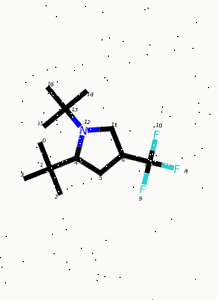 CC(C)(C)C1CC(C(F)(F)F)CN1C(C)(C)C